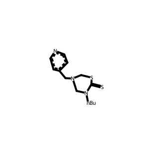 CCCCN1CN(Cc2ccncc2)CSC1=S